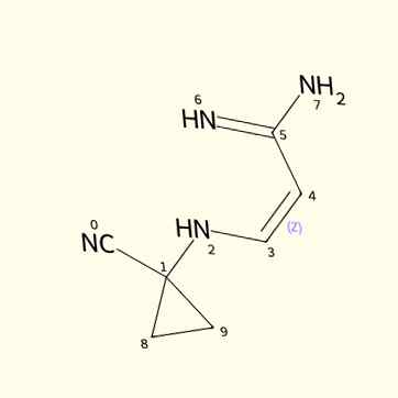 N#CC1(N/C=C\C(=N)N)CC1